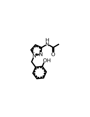 CC(=O)Nc1ccn(Cc2ccccc2O)n1